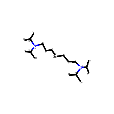 CC(C)N(CC[CH2][Sn][CH2]CCN(C(C)C)C(C)C)C(C)C